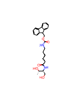 C[C@H](O)[C@H](CO)NC(=O)CCCCCNC(=O)OCC1c2ccccc2-c2ccccc21